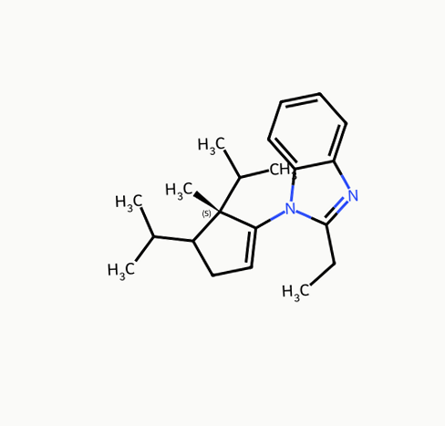 CCc1nc2ccccc2n1C1=CCC(C(C)C)[C@]1(C)C(C)C